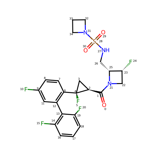 O=C([C@@H]1C[C@@]1(F)c1ccc(F)cc1-c1c(F)cccc1F)N1C[C@@H](F)[C@H]1CNS(=O)(=O)N1CCC1